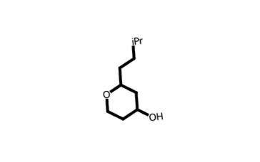 CC(C)CCC1CC(O)CCO1